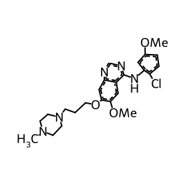 COc1ccc(Cl)c(Nc2ncnc3cc(OCCCN4CCN(C)CC4)c(OC)cc23)c1